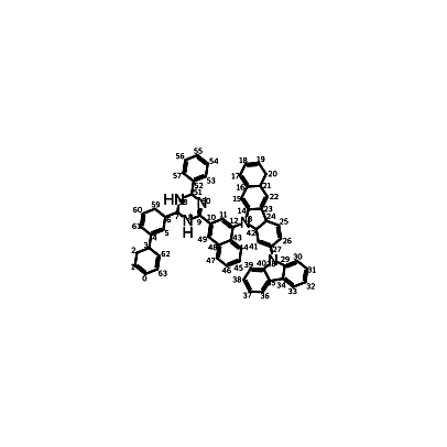 C1=CCC(C2=CC(C3NC(c4cc(N5C6=CC7=CC=CCC7C=C6C6C=CC(n7c8ccccc8c8ccccc87)=CC65)c5ccccc5c4)=NC(c4ccccc4)N3)CC=C2)C=C1